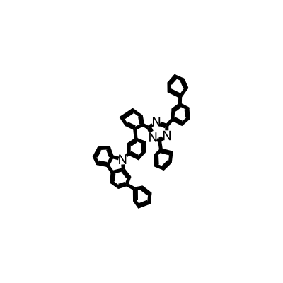 c1ccc(-c2cccc(-c3nc(-c4ccccc4)nc(-c4ccccc4-c4cccc(-n5c6ccccc6c6ccc(-c7ccccc7)cc65)c4)n3)c2)cc1